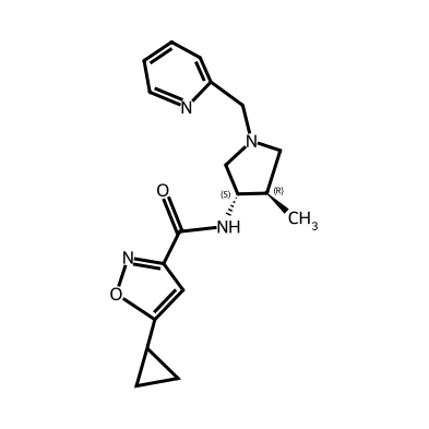 C[C@@H]1CN(Cc2ccccn2)C[C@H]1NC(=O)c1cc(C2CC2)on1